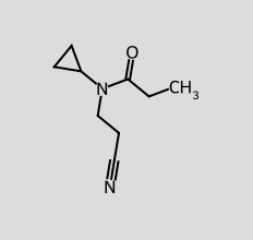 CCC(=O)N(CCC#N)C1CC1